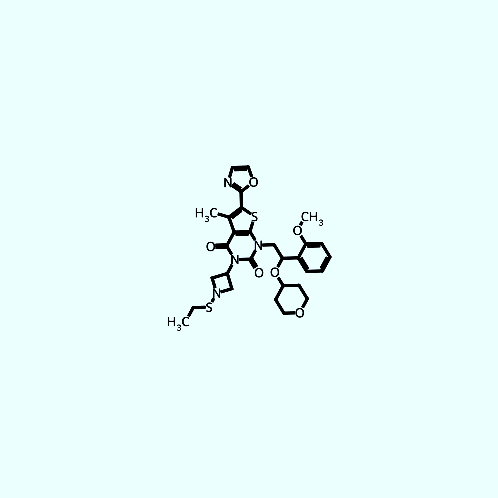 CCSN1CC(n2c(=O)c3c(C)c(-c4ncco4)sc3n(CC(OC3CCOCC3)c3ccccc3OC)c2=O)C1